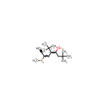 C#C/C(=C\C(=C(\O)CC(C)(C)C)C(C)(C)C)SC